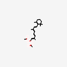 CC(=O)OC(C=C(C)C=CC=C(C)C=CC1=C(C)CCCC1(C)C)OC(C)=O